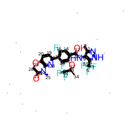 Cc1n[nH]c(C(F)(F)F)c1NC(O)c1cc(F)c(-c2ccc3c(n2)N(C)C(=O)CO3)cc1O[C@@H](C)C(F)(F)F